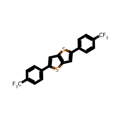 FC(F)(F)c1ccc(-c2cc3sc(-c4ccc(C(F)(F)F)cc4)cc3s2)cc1